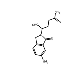 NC(=O)CCC(C=O)N1Cc2ccc(N)cc2C1=O